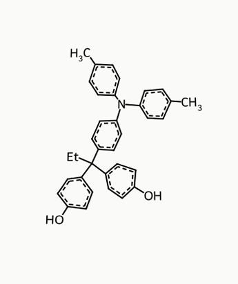 CCC(c1ccc(O)cc1)(c1ccc(O)cc1)c1ccc(N(c2ccc(C)cc2)c2ccc(C)cc2)cc1